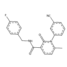 Cc1ccc(C(=O)NCc2ccc(F)cc2)c(=O)n1-c1cccc(C#N)c1